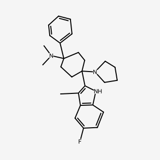 Cc1c(C2(N3CCCC3)CCC(c3ccccc3)(N(C)C)CC2)[nH]c2ccc(F)cc12